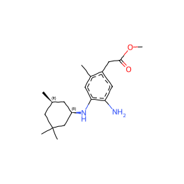 COC(=O)Cc1cc(N)c(N[C@@H]2C[C@H](C)CC(C)(C)C2)cc1C